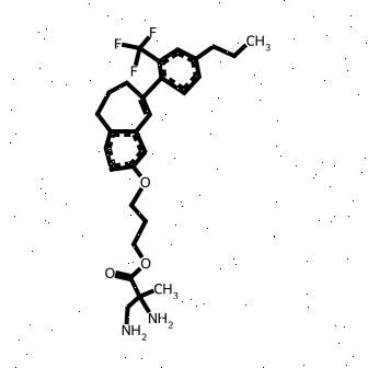 CCCc1ccc(C2=Cc3cc(OCCCOC(=O)C(C)(N)CN)ccc3CCC2)c(C(F)(F)F)c1